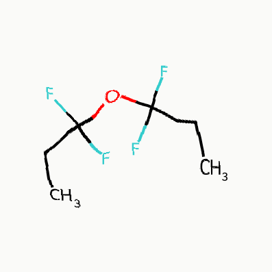 CCC(F)(F)OC(F)(F)CC